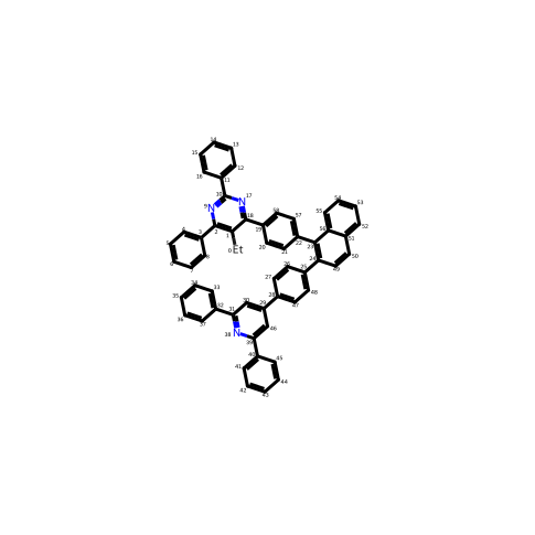 CCc1c(-c2ccccc2)nc(-c2ccccc2)nc1-c1ccc(-c2c(-c3ccc(-c4cc(-c5ccccc5)nc(-c5ccccc5)c4)cc3)ccc3ccccc23)cc1